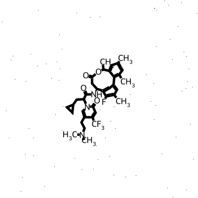 Cc1cc(C)c2c(c1)C(C)OC(=O)C[C@H](NC(=O)C(CC1CC1)n1cc(CCN(C)C)c(C(F)(F)F)cc1=O)c1cc-2cc(C)c1F